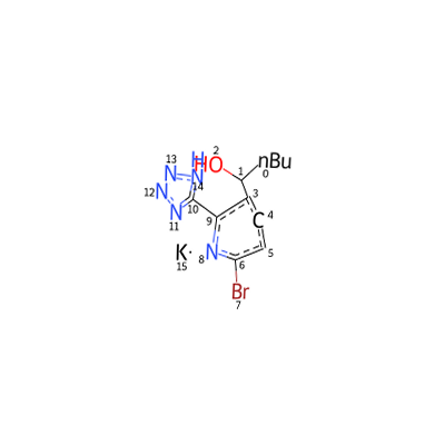 CCCCC(O)c1ccc(Br)nc1-c1nnn[nH]1.[K]